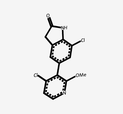 COc1nccc(Cl)c1-c1cc(Cl)c2c(c1)CC(=O)N2